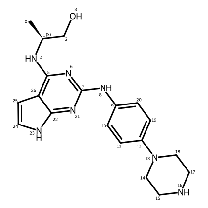 C[C@@H](CO)Nc1nc(Nc2ccc(N3CCNCC3)cc2)nc2[nH]ccc12